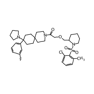 Cc1cccc(Cl)c1S(=O)(=O)N1CCCCC1COCC(=O)N1CCC2(CC1)CCC(c1cccc(F)c1)(N1CCCC1)CC2